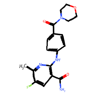 Cc1nc(Nc2ccc(C(=O)N3CCOCC3)cc2)c(C(N)=O)cc1F